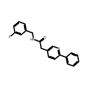 O=C(Cc1ccc(-c2ccccc2)nc1)NCc1cccc(F)c1